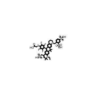 CC[N+]1=c2cc3c(cc2C(CS(=O)(=O)O)=CC1(C)C)=C(c1c(F)c(F)c(SCC(=O)O)c(F)c1F)c1cc2c(cc1C3(C)C)N(Cc1ccc(S(=O)(=O)O)cc1S(=O)(=O)O)CCC2